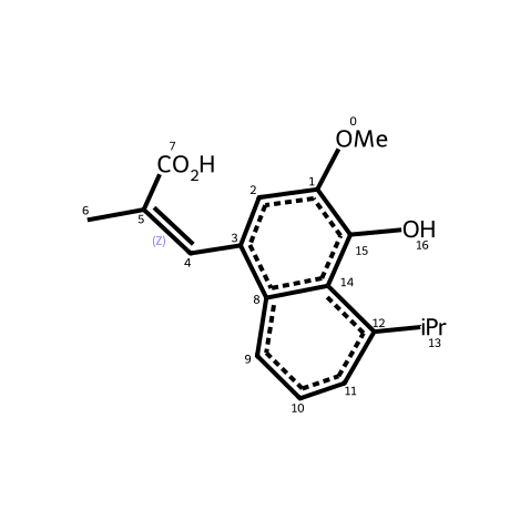 COc1cc(/C=C(/C)C(=O)O)c2cccc(C(C)C)c2c1O